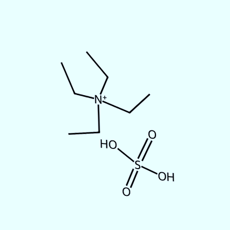 CC[N+](CC)(CC)CC.O=S(=O)(O)O